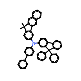 CC1(C)c2ccc(N(c3ccc(-c4ccccc4)cc3)c3ccc4c(c3)C(c3ccccc3)(c3ccccc3)c3ccccc3-4)cc2-c2cc3ccccc3cc21